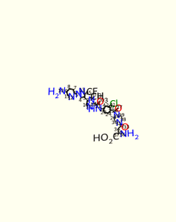 Cn1c(-c2cn(-c3ccc(N)cn3)nc2C(F)(F)F)cnc1C(=O)Nc1ccc(C(=O)N2CCN(C(=O)C[C@H](N)C(=O)O)CC2)c(Cl)c1